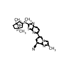 Cc1cn2cc(-c3ccc4nc(N(C)[C@H]5C[C@]6(C)CC[C@](C)(C5)N6)sc4n3)cc(C#N)c2n1